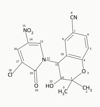 CC1(C)Oc2ccc(C#N)cc2C(n2cc([N+](=O)[O-])cc(Cl)c2=O)C1O